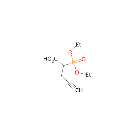 C#CCC(C(=O)O)P(=O)(OCC)OCC